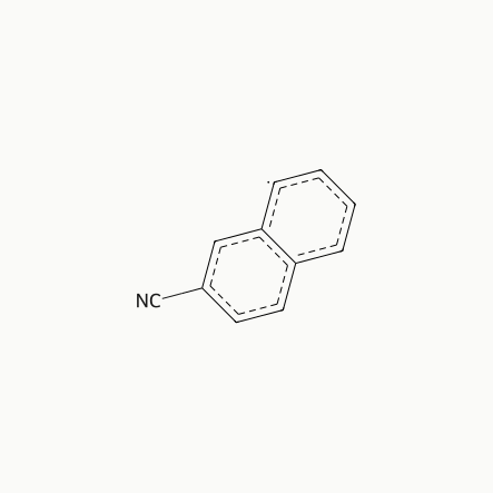 N#Cc1ccc2ccc[c]c2c1